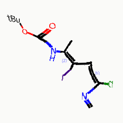 C=N/C(Cl)=C\C(I)=C(/C)NC(=O)OC(C)(C)C